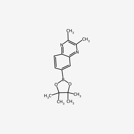 Cc1nc2ccc(B3OC(C)(C)C(C)(C)O3)cc2nc1C